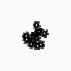 c1ccc(-c2nc(-c3ccccc3)nc(-c3ccc(-n4c5c6ccccc6ccc5c5ccc6c7ccc8ccccc8c7n(-c7ccccc7)c6c54)cn3)n2)cc1